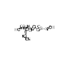 C[C@@](CO)(NCC1C=CC(Cl)(O[C@H]2CCc3c(-c4cccc(OCCCN5CC(O)C5)c4Cl)cccc32)C=C1OCc1cncc(C#N)c1)C(=O)O